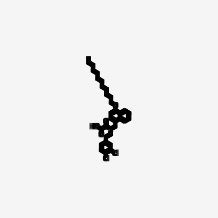 CCCCCCCCCCCCOc1ccc(CN(CCc2ccc(Cl)c(Cl)c2)C(=O)C(=O)O)c2ccccc12